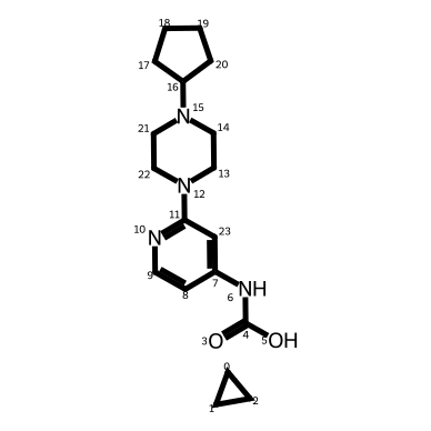 C1CC1.O=C(O)Nc1ccnc(N2CCN(C3CCCC3)CC2)c1